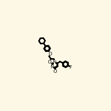 O=c1cc(Cc2ccc(F)cc2)n2c(n1)OC(COc1ccc(C3CCCCC3)cc1)C2